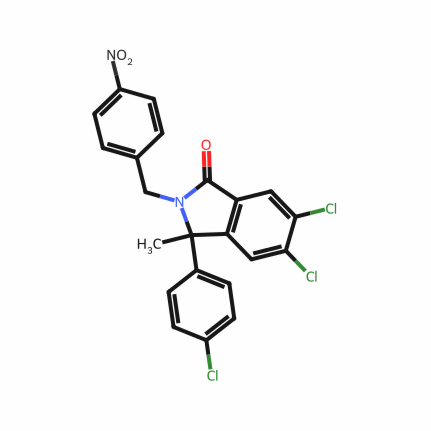 CC1(c2ccc(Cl)cc2)c2cc(Cl)c(Cl)cc2C(=O)N1Cc1ccc([N+](=O)[O-])cc1